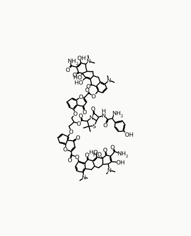 CN(C)c1ccc(OC(=O)c2cc(=O)c3c(OCC(COc4cccc5oc(C(=O)Oc6ccc(N(C)C)c7c6C(=O)C6=C(O)C8(O)C(=O)C(C(N)=O)=C(O)C(N(C)C)C8CC6C7)cc(=O)c45)OC(=O)C4N5C(=O)C(NC(=O)C(N)c6ccc(O)cc6)C5SC4(C)C)cccc3o2)c2c1CC1CC3C(N(C)C)C(O)=C(C(N)=O)C(=O)C3(O)C(O)=C1C2=O